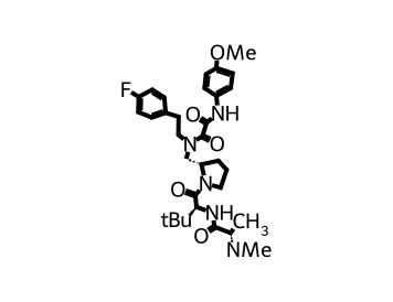 CN[C@@H](C)C(=O)N[C@H](C(=O)N1CCC[C@H]1CN(CCc1ccc(F)cc1)C(=O)C(=O)Nc1ccc(OC)cc1)C(C)(C)C